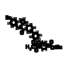 CC(C)(C)OC(=O)N1CCN(C(=O)C(C)(C)Oc2cccc(N3CCC[C@@H](C(=O)N(Cc4ccc(Br)cc4)C4CCC4)C3)c2)CC1